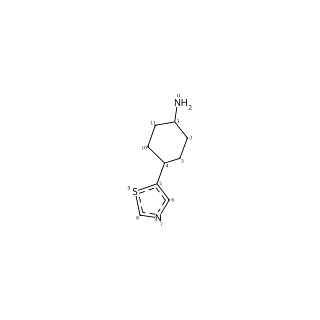 NC1CCC(c2cncs2)CC1